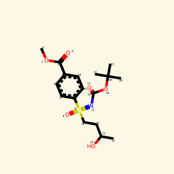 COC(=O)c1ccc(S(=O)(CCC(C)O)=NC(=O)OC(C)(C)C)cc1